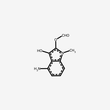 Cn1c(OC=O)c(O)c2c(N)cccc21